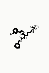 NS(=O)(=O)NCCCCC(NC(=O)OCc1ccccc1)c1nc(-c2cccc(Br)c2)cs1